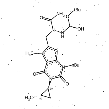 CCCCn1c(=O)n([C@H]2C[C@@H]2C)c(=O)c2c(C)c(CN(NC(O)OC(C)(C)C)C(N)=O)sc21